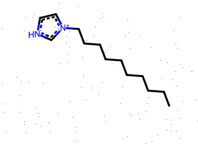 CCCCCCCCCC[n+]1cc[nH]c1